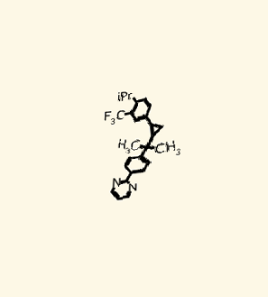 CC(C)c1ccc(C2CC2C(C)(C)c2ccc(-c3ncccn3)cc2)cc1C(F)(F)F